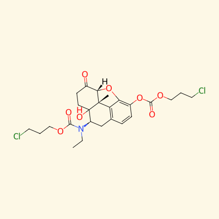 CCN(C(=O)OCCCCl)[C@@H]1Cc2ccc(OC(=O)OCCCCl)c3c2[C@@]2(C)[C@@H](O3)C(=O)CCC12O